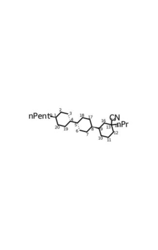 CCCCC[C@H]1CC[C@H]([C@H]2CC[C@H](C3CCCC(C#N)(CCC)C3)CC2)CC1